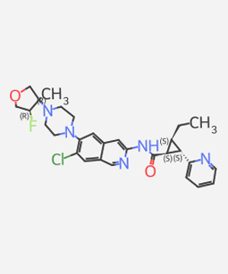 CC[C@@H]1[C@H](C(=O)Nc2cc3cc(N4CCN([C@]5(C)COC[C@@H]5F)CC4)c(Cl)cc3cn2)[C@H]1c1ccccn1